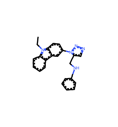 CCn1c2ccccc2c2cc(-n3nncc3CNc3ccccc3)ccc21